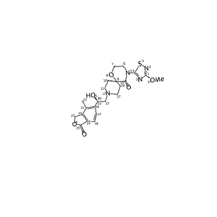 COc1nsc(N2CCOC3(CCN(C[C@H](O)c4ccc5c(c4C)COC5=O)CC3)C2=O)n1